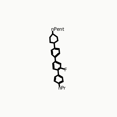 CCCCCC1CCC(c2ccc(-c3ccc(-c4ccc(CCC)cc4)c(F)c3)cc2)CC1